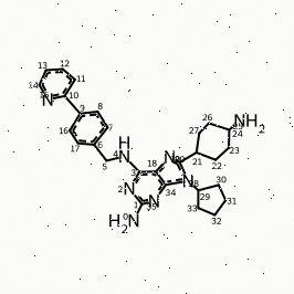 Nc1nc(NCc2ccc(-c3ccccn3)cc2)c2nc(C3CCC(N)CC3)n(C3CCCC3)c2n1